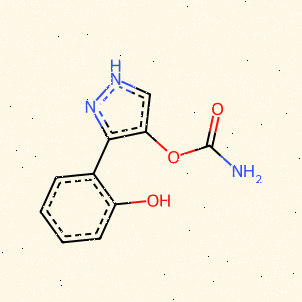 NC(=O)Oc1c[nH]nc1-c1ccccc1O